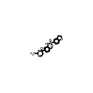 CC1(c2ccc(F)c(NS(=O)(=O)c3ccc4c(c3)CCO4)c2)CCSC(N)=N1